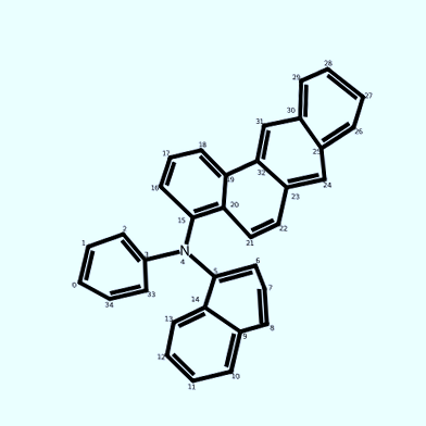 c1ccc(N(c2cccc3ccccc23)c2cccc3c2ccc2cc4ccccc4cc23)cc1